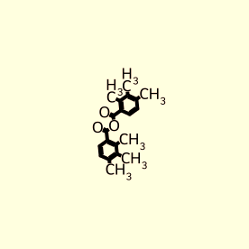 Cc1ccc(C(=O)OC(=O)c2ccc(C)c(C)c2C)c(C)c1C